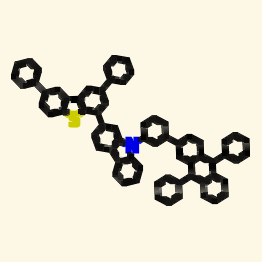 c1ccc(-c2ccc3sc4c(-c5ccc6c7ccccc7n(-c7cccc(-c8ccc9c(-c%10ccccc%10)c%10ccccc%10c(-c%10ccccc%10)c9c8)c7)c6c5)cc(-c5ccccc5)cc4c3c2)cc1